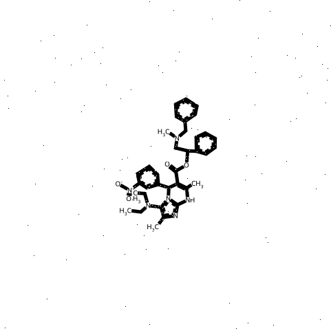 CCN(CC)c1c(C)nc2n1C(c1cccc([N+](=O)[O-])c1)C(C(=O)OC(CN(C)Cc1ccccc1)c1ccccc1)=C(C)N2